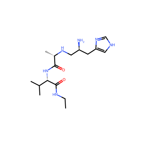 CCNC(=O)[C@@H](NC(=O)[C@H](C)NC[C@@H](N)Cc1c[nH]cn1)C(C)C